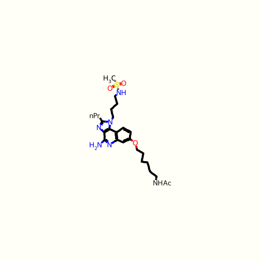 CCCc1nc2c(N)nc3cc(OCCCCCCNC(C)=O)ccc3c2n1CCCCNS(C)(=O)=O